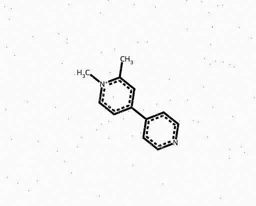 Cc1cc(-c2ccncc2)cc[n+]1C